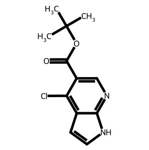 CC(C)(C)OC(=O)c1cnc2[nH]ccc2c1Cl